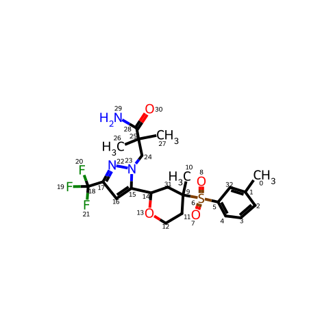 Cc1cccc(S(=O)(=O)C2(C)CCOC(c3cc(C(F)(F)F)nn3CC(C)(C)C(N)=O)C2)c1